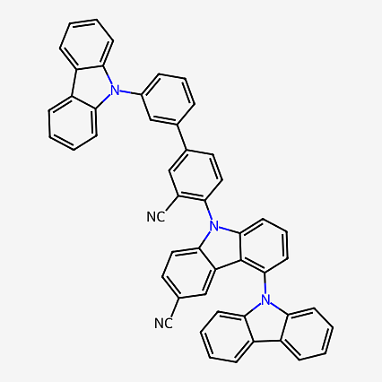 N#Cc1ccc2c(c1)c1c(-n3c4ccccc4c4ccccc43)cccc1n2-c1ccc(-c2cccc(-n3c4ccccc4c4ccccc43)c2)cc1C#N